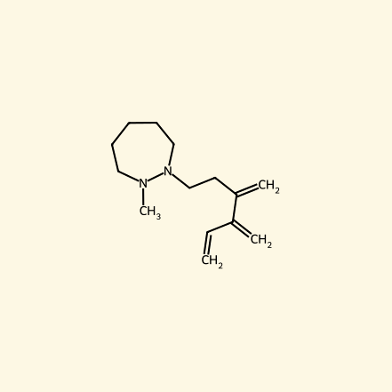 C=CC(=C)C(=C)CCN1CCCCCN1C